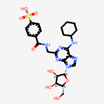 O=C(NCc1nc(NC2CCCCC2)c2ncn([C@@H]3O[C@H](CO)[C@@H](O)[C@H]3O)c2n1)c1ccc(S(=O)(=O)O)cc1